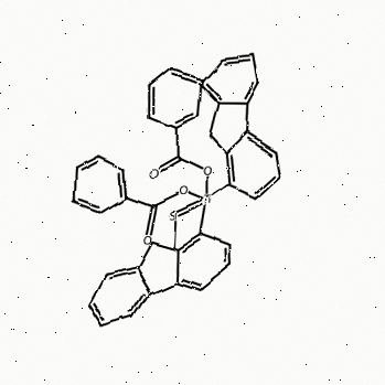 C[Si](C)=[Ti]([O]C(=O)c1ccccc1)([O]C(=O)c1ccccc1)([c]1cccc2c1Cc1ccccc1-2)[c]1cccc2c1Cc1ccccc1-2